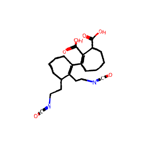 O=C=NCCC1=C(C2=C(C(=O)O)C(C(=O)O)CCCC2)CCCCC1CCN=C=O